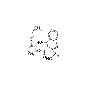 C=CC(=O)OCCC.O=C(O)c1cc2ccccc2c(O)c1C(=O)O